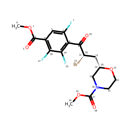 COC(=O)c1cc(F)c(C(=O)[C@@H](Br)C[C@H]2CN(C(=O)OC)CCO2)c(F)c1F